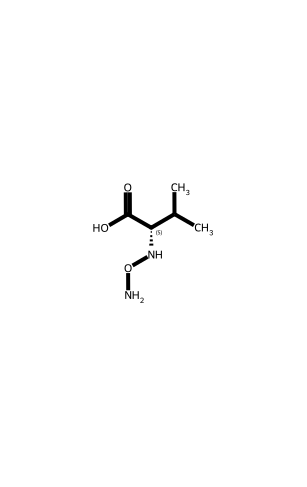 CC(C)[C@H](NON)C(=O)O